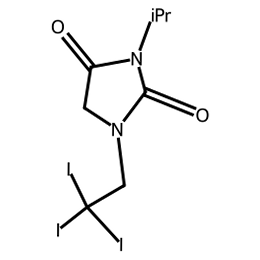 CC(C)N1C(=O)CN(CC(I)(I)I)C1=O